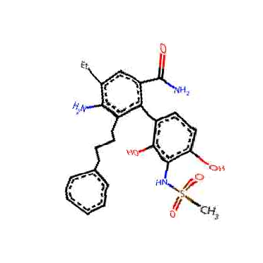 CCc1cc(C(N)=O)c(-c2ccc(O)c(NS(C)(=O)=O)c2O)c(CCc2ccccc2)c1N